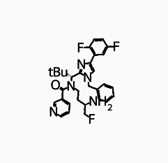 CC(C)(C)[C@H](c1nc(-c2cc(F)ccc2F)cn1Cc1ccccc1)N(CC[C@@H](N)CF)C(=O)c1cccnc1